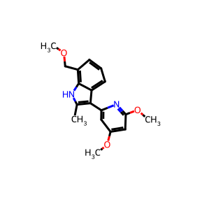 COCc1cccc2c(-c3cc(OC)cc(OC)n3)c(C)[nH]c12